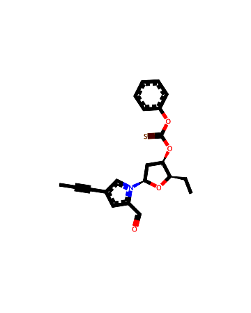 CC#Cc1cc(C=O)n([C@H]2C[C@@H](OC(=S)Oc3ccccc3)[C@@H](CC)O2)c1